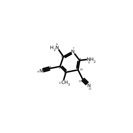 Cc1c(C#N)c(N)nc(N)c1C#N